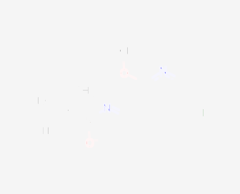 COc1ncc(F)cc1/C=N/[S+]([O-])C(C)(C)C